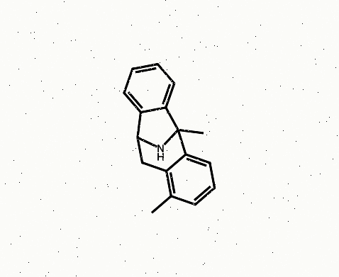 Cc1cccc2c1CC1NC2(C)c2ccccc21